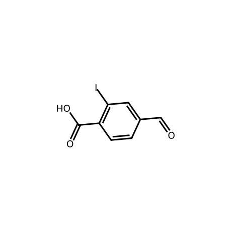 O=Cc1ccc(C(=O)O)c(I)c1